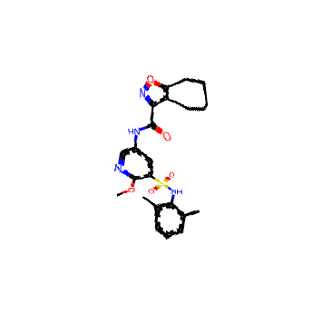 COc1ncc(NC(=O)c2noc3c2CCCC3)cc1S(=O)(=O)Nc1c(C)cccc1C